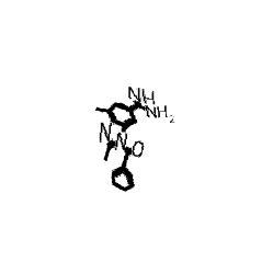 Cc1cc(C(=N)N)cc2c1nc(C)n2C(=O)c1ccccc1